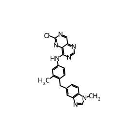 Cc1cc(Nc2ncnc3cnc(Cl)nc23)ccc1Cc1ccc2c(c1)ncn2C